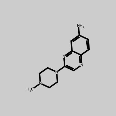 CN1CCN(c2cnc3ccc(N)cc3n2)CC1